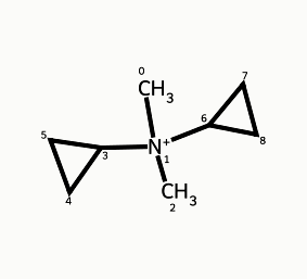 C[N+](C)(C1CC1)C1CC1